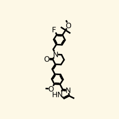 COc1cc(/C=C2\CCCN(Cc3ccc(C(C)(C)OC)c(F)c3)C2=O)ccc1-c1nc(C)c[nH]1